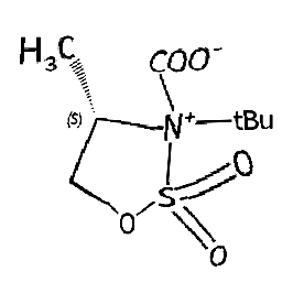 C[C@H]1COS(=O)(=O)[N+]1(C(=O)[O-])C(C)(C)C